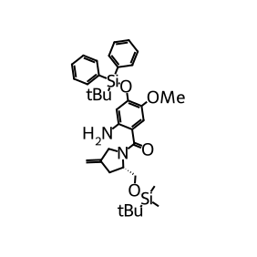 C=C1C[C@@H](CO[Si](C)(C)C(C)(C)C)N(C(=O)c2cc(OC)c(O[Si](c3ccccc3)(c3ccccc3)C(C)(C)C)cc2N)C1